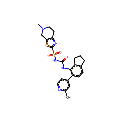 CN1CCc2nc(S(=O)(=O)NC(=O)Nc3c(-c4ccnc(C#N)c4)ccc4c3CCC4)sc2C1